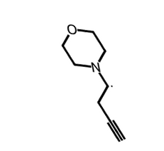 C#CC[CH]N1CCOCC1